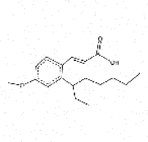 CCCCCC(CC)c1cc(OC)ccc1C=CC(=O)O